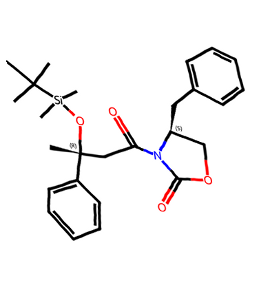 CC(C)(C)[Si](C)(C)O[C@](C)(CC(=O)N1C(=O)OC[C@@H]1Cc1ccccc1)c1ccccc1